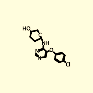 OC1CCC(Nc2ncncc2Oc2ccc(Cl)cc2)CC1